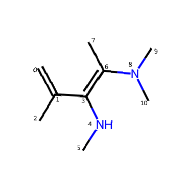 C=C(C)/C(NC)=C(\C)N(C)C